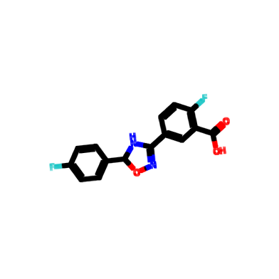 O=C(O)c1cc(C2=NOC(c3ccc(F)cc3)N2)ccc1F